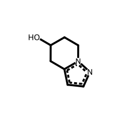 OC1CCn2nccc2C1